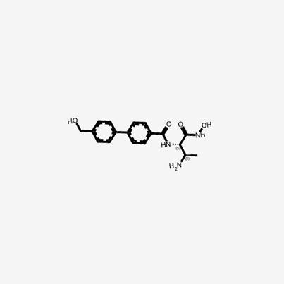 C[C@@H](N)[C@H](NC(=O)c1ccc(-c2ccc(CO)cc2)cc1)C(=O)NO